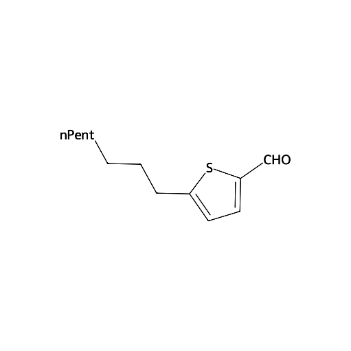 CCCCCCCCc1ccc(C=O)s1